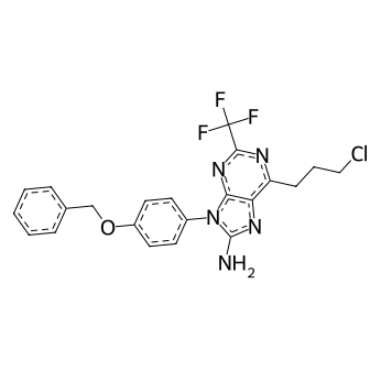 Nc1nc2c(CCCCl)nc(C(F)(F)F)nc2n1-c1ccc(OCc2ccccc2)cc1